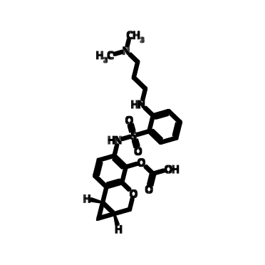 CN(C)CCCNc1ccccc1S(=O)(=O)Nc1ccc2c(c1OC(=O)O)OC[C@@H]1C[C@H]21